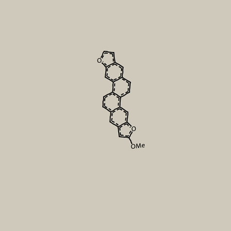 COc1cc2cc3ccc4c5cc6occc6cc5ccc4c3cc2o1